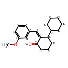 COc1cccc(/C=C2\C(=O)CCCC2C2CCCCC2)c1